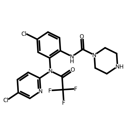 O=C(Nc1ccc(Cl)cc1N(C(=O)C(F)(F)F)c1ccc(Cl)cn1)N1CCNCC1